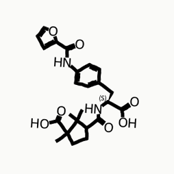 CC1(C(=O)O)CCC(C(=O)N[C@@H](Cc2ccc(NC(=O)c3ccco3)cc2)C(=O)O)C1(C)C